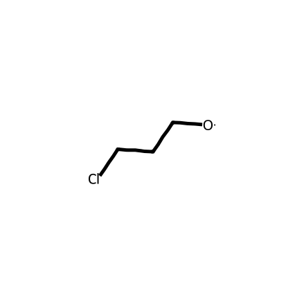 [O]CCCCl